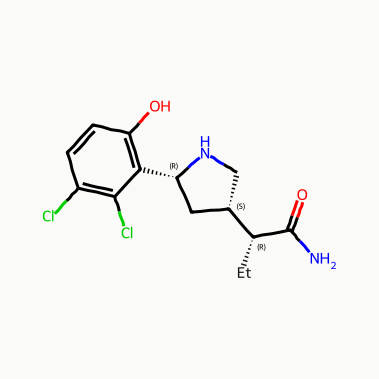 CC[C@@H](C(N)=O)[C@H]1CN[C@@H](c2c(O)ccc(Cl)c2Cl)C1